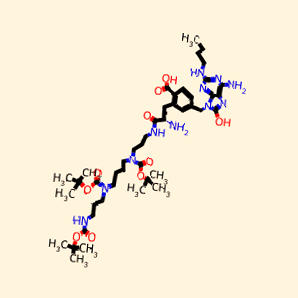 CCCCNc1nc(N)c2nc(O)n(Cc3ccc(C(=O)O)c(C[C@H](N)C(=O)NCCCN(CCCCN(CCCNC(=O)OC(C)(C)C)C(=O)OC(C)(C)C)C(=O)OC(C)(C)C)c3)c2n1